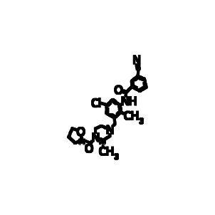 Cc1c(CN2CCN(C(=O)[C@H]3CCCO3)[C@@H](C)C2)cc(Cl)cc1NC(=O)c1cccc(C#N)c1